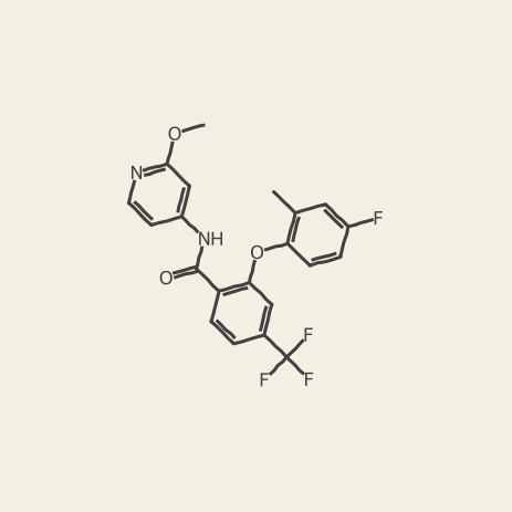 COc1cc(NC(=O)c2ccc(C(F)(F)F)cc2Oc2ccc(F)cc2C)ccn1